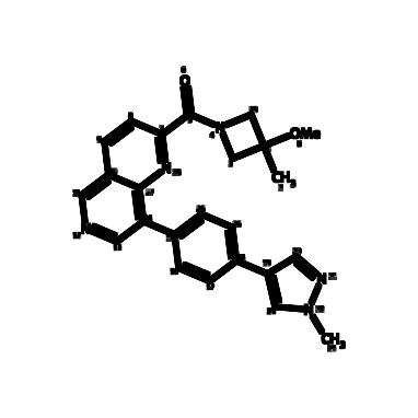 COC1(C)CN(C(=O)c2ccc3cncc(-c4ccc(-c5cnn(C)c5)cc4)c3n2)C1